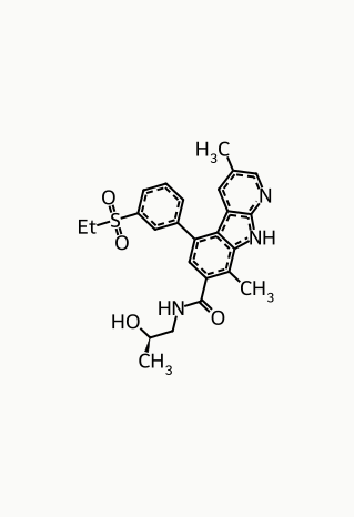 CCS(=O)(=O)c1cccc(-c2cc(C(=O)NC[C@@H](C)O)c(C)c3[nH]c4ncc(C)cc4c23)c1